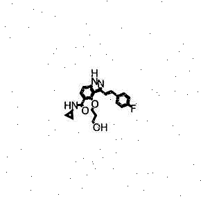 O=C(NC1CC1)c1ccc2[nH]nc(/C=C/c3ccc(F)cc3)c2c1OCCCO